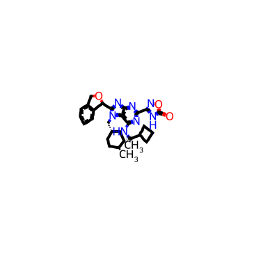 C[C@@H](Nc1nc(-c2noc(=O)[nH]2)nc2nc(C3OCc4ccccc43)n(C[C@H]3CC[C@H](C)CC3)c12)C1CCC1